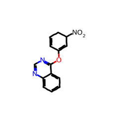 O=[N+]([O-])C1C=C(Oc2ncnc3ccccc23)C=CC1